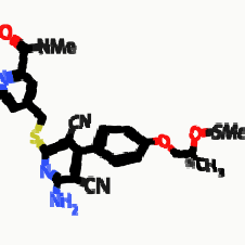 CNC(=O)c1cc(CSc2nc(N)c(C#N)c(-c3ccc(OC[C@H](C)OSC)cc3)c2C#N)ccn1